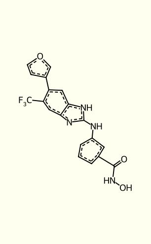 O=C(NO)c1cccc(Nc2nc3cc(C(F)(F)F)c(-c4ccoc4)cc3[nH]2)c1